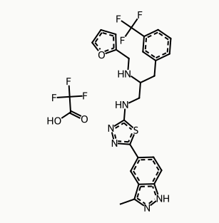 Cc1n[nH]c2ccc(-c3nnc(NCC(Cc4cccc(C(F)(F)F)c4)NCc4ccco4)s3)cc12.O=C(O)C(F)(F)F